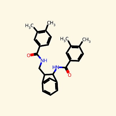 Cc1ccc(C(=O)NCC2c3cccc(c3)C2NC(=O)c2ccc(C)c(C)c2)cc1C